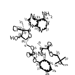 C[C@@H](N[P@](=O)(OC[C@H]1O[C@@H](n2cnc3c(N)ncnc32)[C@](C)(Cl)[C@@H]1O)Oc1ccccc1)C(=O)OCC(C)(C)C